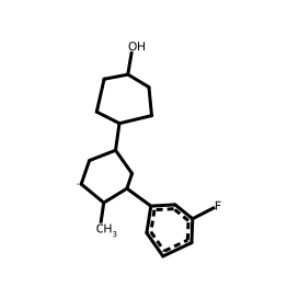 CC1[CH]CC(C2CCC(O)CC2)CC1c1cccc(F)c1